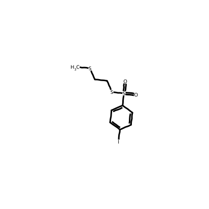 CSCCSS(=O)(=O)c1ccc(I)cc1